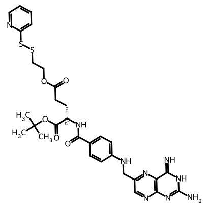 CC(C)(C)OC(=O)[C@H](CCC(=O)OCCSSc1ccccn1)NC(=O)c1ccc(NCc2cnc3nc(N)[nH]c(=N)c3n2)cc1